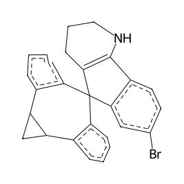 Brc1ccc2c(c1)C1(C3=C2NCCC3)c2ccccc2C2CC2c2ccccc21